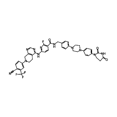 N#Cc1ccc(N2CCc3c(ncnc3Nc3ccc(C(=O)NCc4ccc(N5CCN(c6ccc(N7CCC(=O)NC7=O)cc6)CC5)cc4)c(F)n3)C2)cc1C(F)(F)F